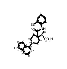 CCc1ccccc1NC(=O)C1(N(C)C(=O)O)CCN(c2ncnc3[nH]ccc23)CC1